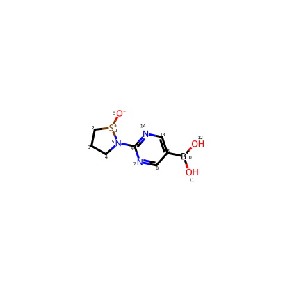 [O-][S+]1CCCN1c1ncc(B(O)O)cn1